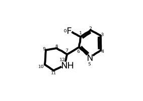 Fc1cccnc1C1CCCCN1